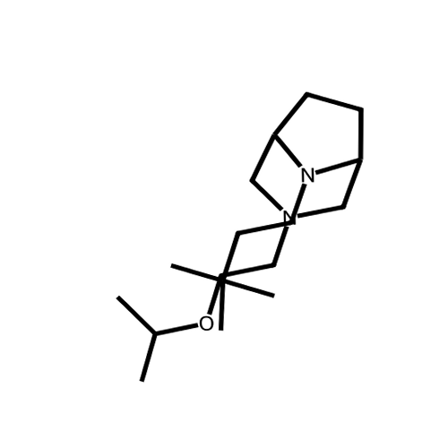 CC(C)OCCN1CC2CCC(C1)N2CCC(C)(C)C